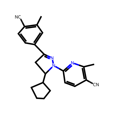 Cc1cc(C2=NN(c3ccc(C#N)c(C)n3)C(C3CCCC3)C2)ccc1C#N